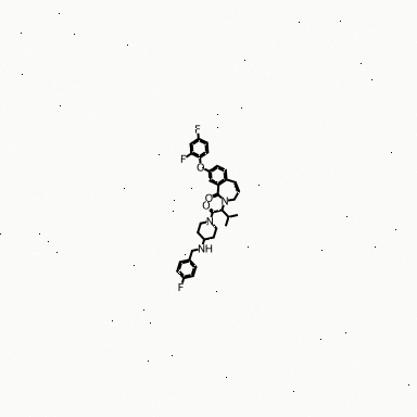 CC(C)C(C(=O)N1CCC(NCc2ccc(F)cc2)CC1)N1CC=Cc2ccc(Oc3ccc(F)cc3F)cc2C1=O